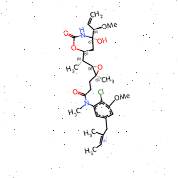 C=C[C@@H](OC)[C@@]1(O)C[C@@H]([C@@H](C)[C@@H]2O[C@@]2(C)CCC(=O)N(C)c2cc(C/C(C)=C/C)cc(OC)c2Cl)OC(=O)N1